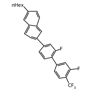 CCCCCCc1ccc2cc(-c3ccc(-c4ccc(C(F)(F)F)c(F)c4)c(F)c3)ccc2c1